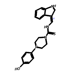 Oc1ccc(N2CCN(C(=S)N/C=C3/CNc4ccccc43)CC2)cc1